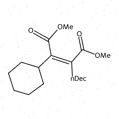 CCCCCCCCCC/C(C(=O)OC)=C(/C(=O)OC)C1CCCCC1